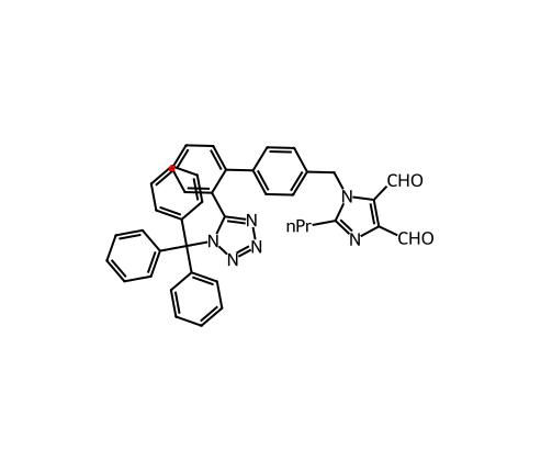 CCCc1nc(C=O)c(C=O)n1Cc1ccc(-c2ccccc2-c2nnnn2C(c2ccccc2)(c2ccccc2)c2ccccc2)cc1